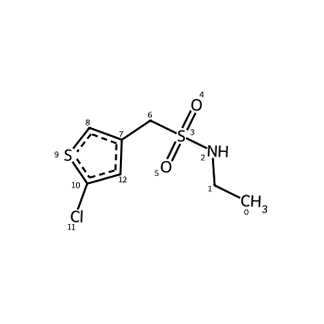 CCNS(=O)(=O)Cc1csc(Cl)c1